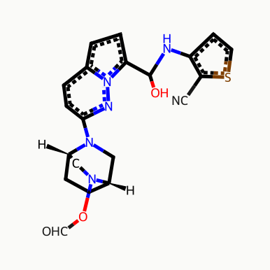 N#Cc1sccc1NC(O)c1ccc2ccc(N3C[C@@H]4CC[C@H]3CN4OC=O)nn12